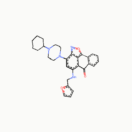 O=C1c2ccccc2-c2onc3c(N4CCN(C5CCCCC5)CC4)cc(NCc4ccco4)c1c23